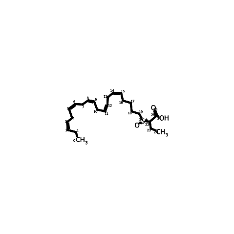 CC/C=C\C/C=C\C/C=C\C/C=C\C/C=C\CCCC[S+]([O-])C(CC)C(=O)O